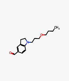 CCCCOCCCN1CCc2cc(C=O)ccc21